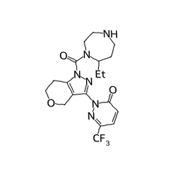 CCC1CCNCCN1C(=O)n1nc(-n2nc(C(F)(F)F)ccc2=O)c2c1CCOC2